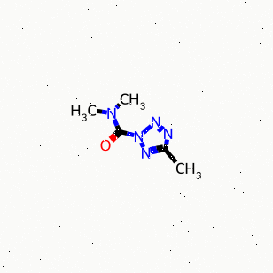 Cc1nnn(C(=O)N(C)C)n1